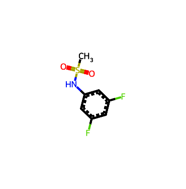 CS(=O)(=O)Nc1cc(F)cc(F)c1